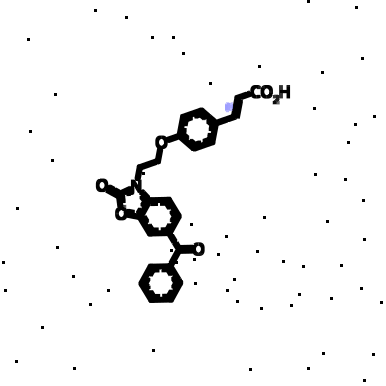 O=C(O)/C=C/c1ccc(OCCn2c(=O)oc3cc(C(=O)c4ccccc4)ccc32)cc1